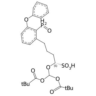 CC(C)(C)C(=O)OC(OC(=O)C(C)(C)C)O[C@H](CCCc1cccc(Oc2ccccc2)c1[PH2]=O)S(=O)(=O)O